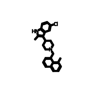 Cc1[nH]c2ccc(Cl)cc2c1C1CCN(Cc2cccc3cccc(C)c23)CC1